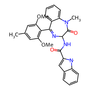 COc1cc(C)cc(OC)c1C1=NC(NC(=O)C2=Cc3ccccc3[N]2)C(=O)N(C)c2ccccc21